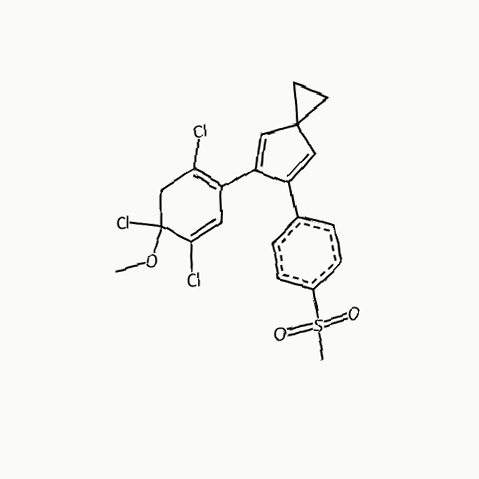 COC1(Cl)CC(Cl)=C(C2=CC3(C=C2c2ccc(S(C)(=O)=O)cc2)CC3)C=C1Cl